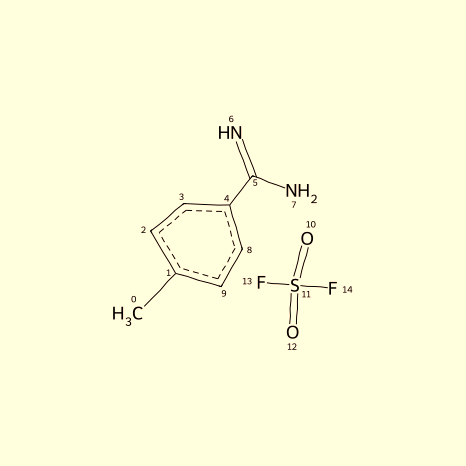 Cc1ccc(C(=N)N)cc1.O=S(=O)(F)F